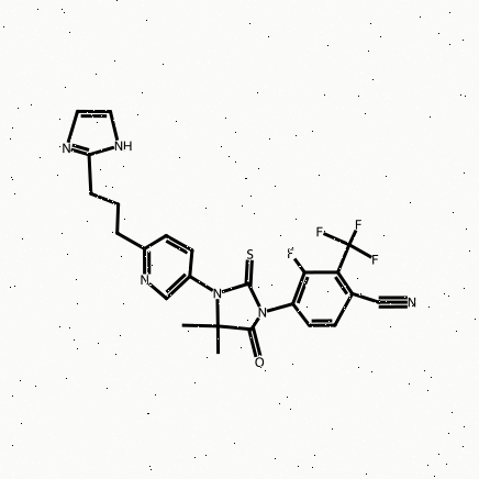 CC1(C)C(=O)N(c2ccc(C#N)c(C(F)(F)F)c2F)C(=S)N1c1ccc(CCCc2ncc[nH]2)nc1